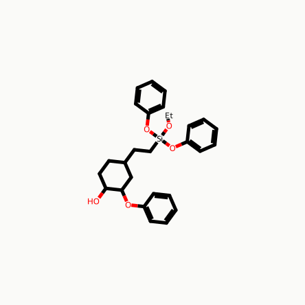 CCO[Si](CCC1CCC(O)C(Oc2ccccc2)C1)(Oc1ccccc1)Oc1ccccc1